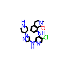 CN1CCc2cccc(Nc3cc(Nc4cnn(C5CCNCC5)c4)ncc3Cl)c2C1=O